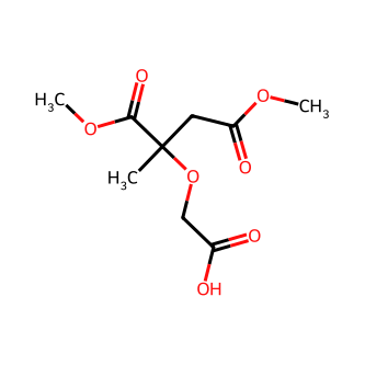 COC(=O)CC(C)(OCC(=O)O)C(=O)OC